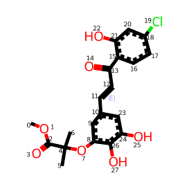 COC(=O)C(C)(C)Oc1cc(/C=C/C(=O)c2ccc(Cl)cc2O)cc(O)c1O